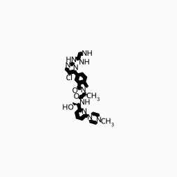 C[C@H](C(=O)N[C@H](CO)c1cccc(N2CCN(C)CC2)n1)N1Cc2ccc(-c3nc(NC(=N)C=N)ncc3Cl)cc2C1=O